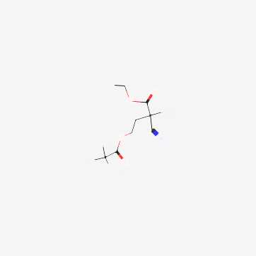 CCOC(=O)C(C)(C#N)CCOC(=O)C(C)(C)C